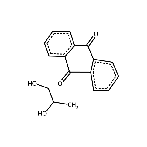 CC(O)CO.O=C1c2ccccc2C(=O)c2ccccc21